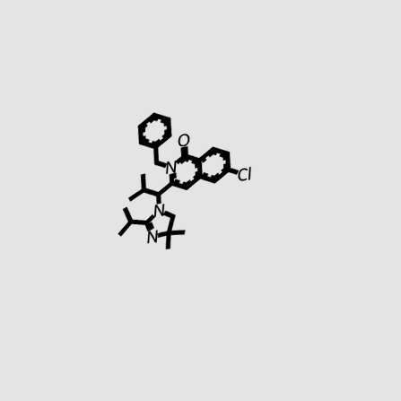 CC(C)C1=NC(C)(C)CN1C(c1cc2cc(Cl)ccc2c(=O)n1Cc1ccccc1)C(C)C